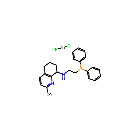 CC(C)c1ccc2c(n1)C(NCCP(c1ccccc1)c1ccccc1)CCC2.[Cl][Zn][Cl]